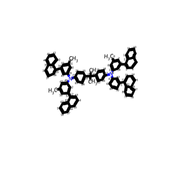 Cc1cc(-c2cccc3ccccc23)cc(N(c2ccc(C(C)(C)c3ccc(N(c4cc(C)cc(-c5cccc6ccccc56)c4)c4cc(C)cc(-c5cccc6ccccc56)c4)cc3)cc2)c2cccc(-c3cccc4ccccc34)c2)c1